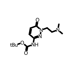 CN(C)CCn1nc(NC(=O)OC(C)(C)C)ccc1=O